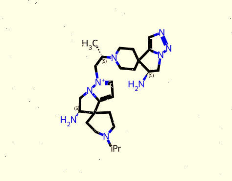 CC(C)N1CCC2(CC1)c1cc[n+](C[C@H](C)N3CCC4(CC3)c3cnnn3C[C@H]4N)n1C[C@H]2N